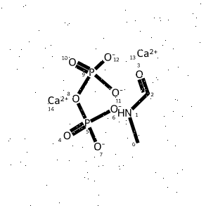 CNC=O.O=P([O-])([O-])OP(=O)([O-])[O-].[Ca+2].[Ca+2]